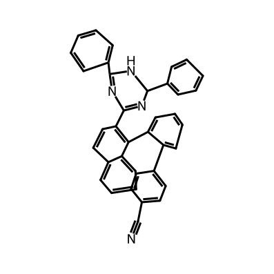 N#Cc1ccc(-c2ccccc2-c2c(C3=NC(c4ccccc4)NC(c4ccccc4)=N3)ccc3ccccc23)cc1